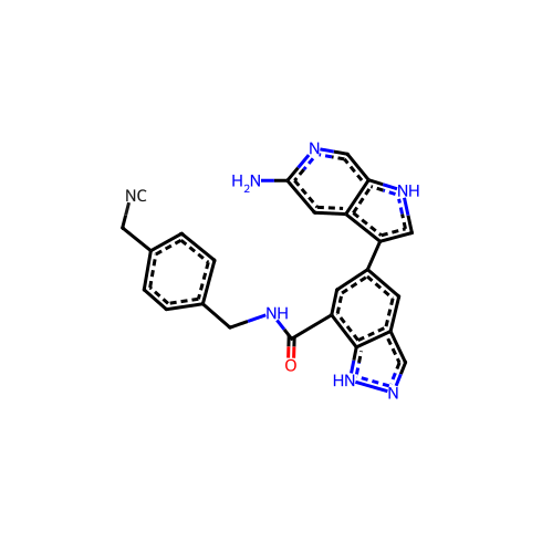 [C-]#[N+]Cc1ccc(CNC(=O)c2cc(-c3c[nH]c4cnc(N)cc34)cc3cn[nH]c23)cc1